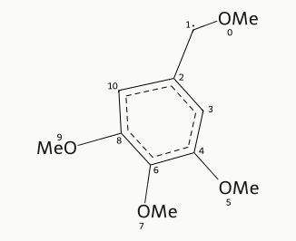 CO[CH]c1cc(OC)c(OC)c(OC)c1